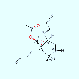 C=CC[C@@H]1C[C@@]2(OC(C)=O)C[C@@H](CC=C)[C@H]3C[C@@H]4C[C@@H]4C[C@@]32O1